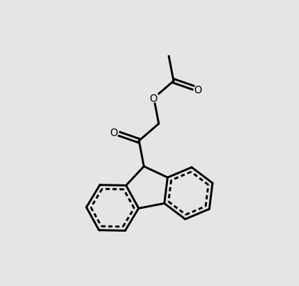 CC(=O)OCC(=O)C1c2ccccc2-c2ccccc21